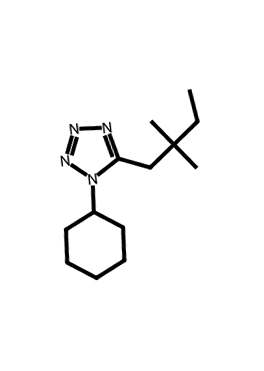 CCC(C)(C)Cc1nnnn1C1CCCCC1